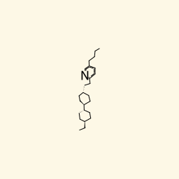 CCCCc1ccc(CC[C@H]2CC[C@H]([C@H]3CC[C@H](CC)CC3)CC2)nc1